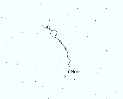 CCCCCCCCCCCCCCC#CC#Cc1ccc(O)cc1